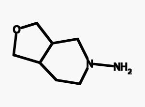 NN1CCC2COCC2C1